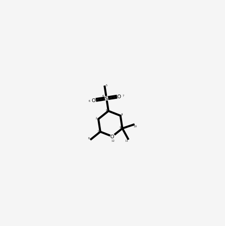 CC1CC(S(C)(=O)=O)CC(C)(C)O1